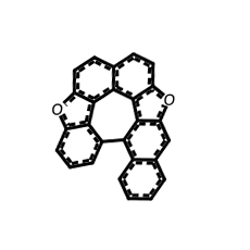 c1ccc2c3c4c(cc2c1)oc1ccc2ccc5oc6cccc-3c6c5c2c14